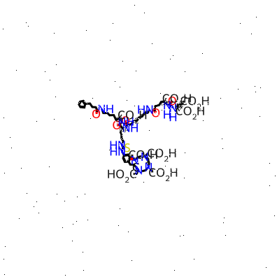 O=C(O)CC[C@H](NC(=O)N[C@@H](CCCC(=O)NCCCCCCCC(=O)N[C@@H](CCCCNC(=S)Nc1ccc(CC2CN(CC(=O)O)CCN(CC(=O)O)CCN(CC(=O)O)CCN2CC(=O)O)cc1)C(=O)N[C@@H](CCCCCNC(=O)CCCc1ccccc1)C(=O)O)C(=O)O)C(=O)O